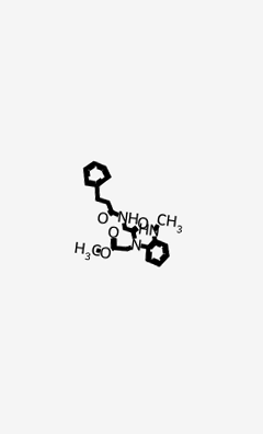 CNc1ccccc1N(CC(=O)OC)C(=O)CNC(=O)CCc1ccccc1